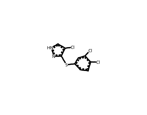 Clc1ccc(Sc2n[nH]cc2Cl)cc1Cl